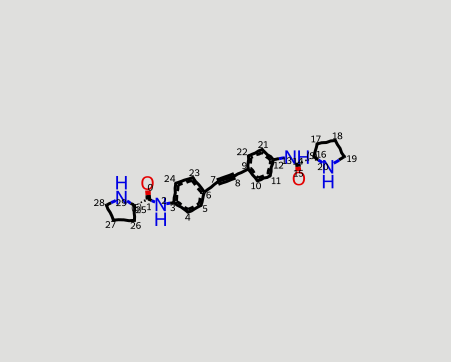 O=C(Nc1ccc(C#Cc2ccc(NC(=O)[C@@H]3CCCN3)cc2)cc1)[C@@H]1CCCN1